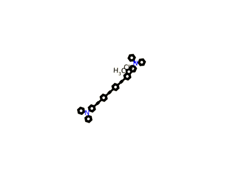 CC1(C)c2cc(C#Cc3ccc(C#Cc4ccc(C#Cc5ccc(N(c6ccccc6)c6ccccc6)cc5)cc4)cc3)ccc2-c2ccc(N(c3ccccc3)c3ccccc3)cc21